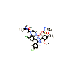 CCOc1cc(C)c(S(=O)(=O)NC(C)(C)C)cc1C1=NC(c2ccc(Cl)cc2)C(c2ccc(Cl)cc2)N1C(=O)N1CCN(CC(=O)N(C)C(C)C)CC1